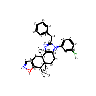 C[C@H]1c2oncc2C[C@@]2(C)c3nc(Cc4ccccc4)n(-c4cccc(F)c4)c3CC[C@H]12